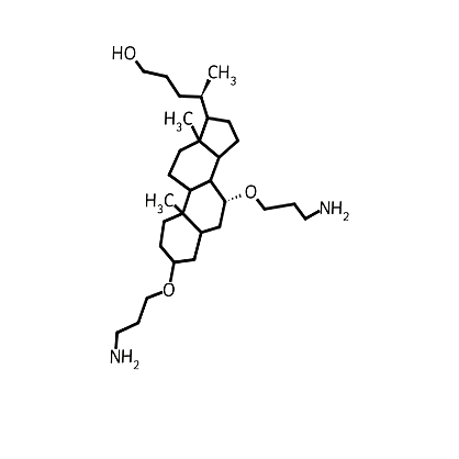 C[C@H](CCCO)C1CCC2C3C(CCC21C)C1(C)CCC(OCCCN)CC1C[C@H]3OCCCN